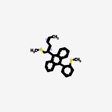 C/C=C\C=C(/CSC)c1c2ccccc2c(-c2ccccc2SC)c2ccccc12